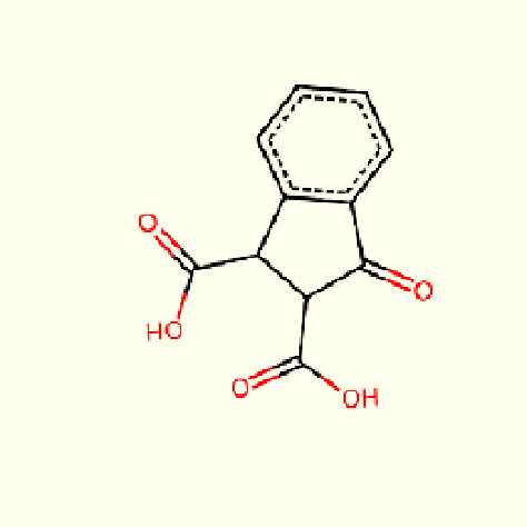 O=C(O)C1C(=O)c2ccccc2C1C(=O)O